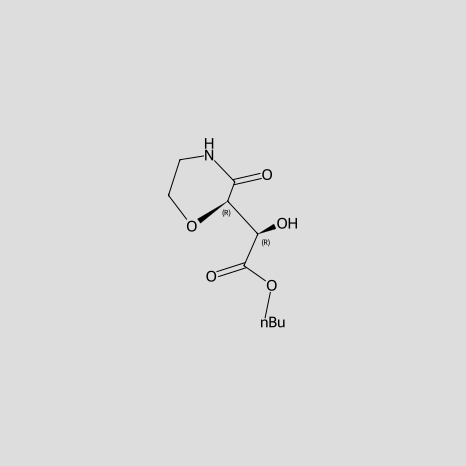 CCCCOC(=O)[C@H](O)[C@H]1OCCNC1=O